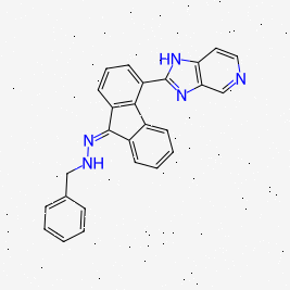 c1ccc(CN/N=C2\c3ccccc3-c3c2cccc3-c2nc3cnccc3[nH]2)cc1